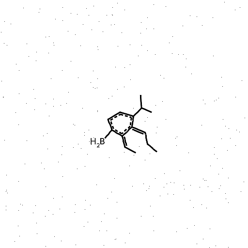 Bc1ccc(C(C)C)c(=C/CC)/c1=C\C